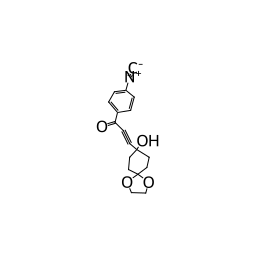 [C-]#[N+]c1ccc(C(=O)C#CC2(O)CCC3(CC2)OCCO3)cc1